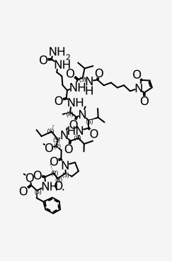 CC[C@H](C)[C@@H]([C@@H](CC(=O)N1CCC[C@H]1[C@H](OC)[C@@H](C)C(=O)N[C@@H](Cc1ccccc1)C(=O)OC)OC)N(C)C(=O)[C@@H](NC(=O)[C@H](C(C)C)N(C)C(=O)[C@@H](C)NC(=O)C(CCCNC(N)=O)NC(=O)[C@@H](NC(=O)CCCCCN1C(=O)C=CC1=O)C(C)C)C(C)C